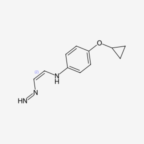 N=N/C=C\Nc1ccc(OC2CC2)cc1